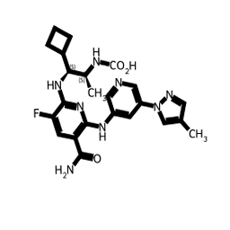 Cc1cnn(-c2cncc(Nc3nc(N[C@@H](C4CCC4)[C@H](C)NC(=O)O)c(F)cc3C(N)=O)c2)c1